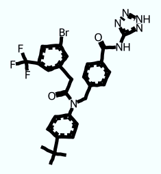 CC(C)(C)c1ccc(N(Cc2ccc(C(=O)Nc3nn[nH]n3)cc2)C(=O)Cc2cc(Br)cc(C(F)(F)F)c2)cc1